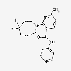 Cc1ccc(C(=O)Nc2ccncc2)c(N2CCCC(F)(F)CC2)n1